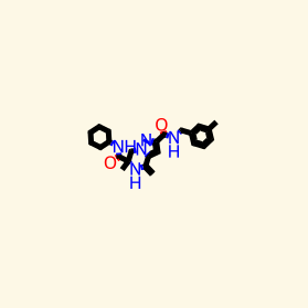 C=C1NC(C)(C(=O)NC2CCCCC2)Cn2nc(C(=O)NCc3cccc(C)c3)cc21